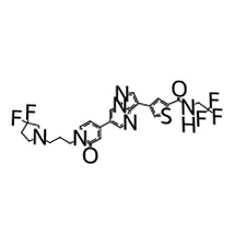 O=C(NCC(F)(F)F)c1cc(-c2cnn3cc(-c4ccn(CCCN5CCC(F)(F)C5)c(=O)c4)cnc23)cs1